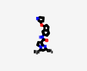 Cc1cc(C)n2ccc(C(=O)Nc3ccc4c(c3)C(Oc3cccnc3)CC4)c2n1